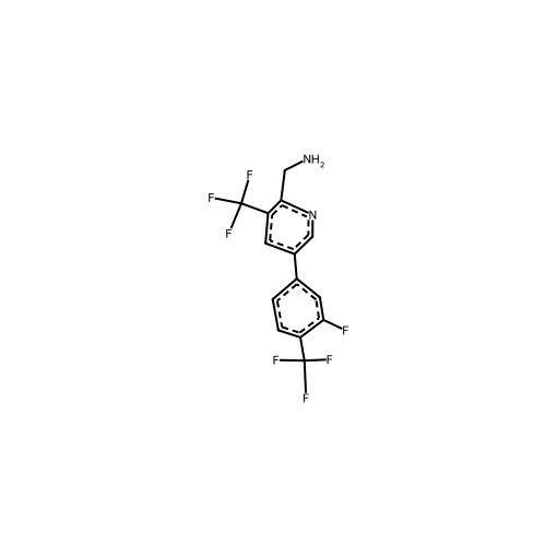 NCc1ncc(-c2ccc(C(F)(F)F)c(F)c2)cc1C(F)(F)F